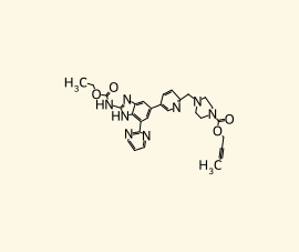 CC#CCOC(=O)N1CCN(Cc2ccc(-c3cc(-c4ncccn4)c4[nH]c(NC(=O)OCC)nc4c3)cn2)CC1